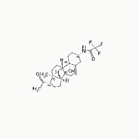 CC(=O)[C@H]1CC[C@H]2[C@@H]3CC=C4C[C@@H](NC(=O)C(F)(F)F)CC[C@]4(C)[C@H]3CC[C@]12C